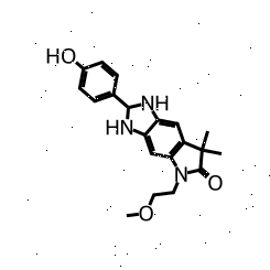 COCCN1C(=O)C(C)(C)c2cc3c(cc21)NC(c1ccc(O)cc1)N3